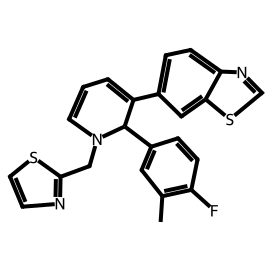 Cc1cc(C2C(c3ccc4ncsc4c3)=CC=CN2Cc2nccs2)ccc1F